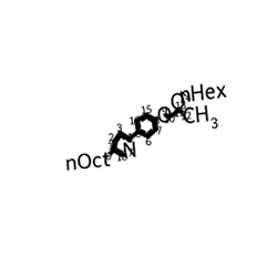 CCCCCCCCc1ccc(-c2ccc(OCC(C)OCCCCCC)cc2)nc1